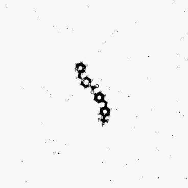 O=C(Oc1ccc(Cc2ccc(C(F)(F)F)cc2)cc1)N1CCN(Cc2ccccn2)CC1